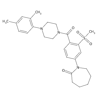 Cc1ccc(N2CCN(C(=O)c3ccc(N4CCCCCC4=O)cc3S(C)(=O)=O)CC2)c(C)c1